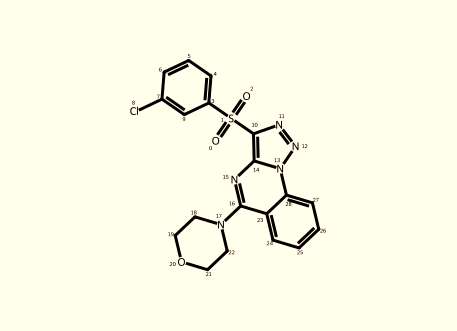 O=S(=O)(c1cccc(Cl)c1)c1nnn2c1nc(N1CCOCC1)c1ccccc12